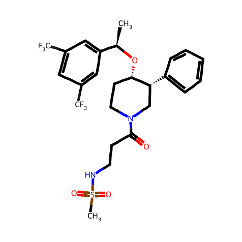 C[C@@H](O[C@H]1CCN(C(=O)CCNS(C)(=O)=O)C[C@H]1c1ccccc1)c1cc(C(F)(F)F)cc(C(F)(F)F)c1